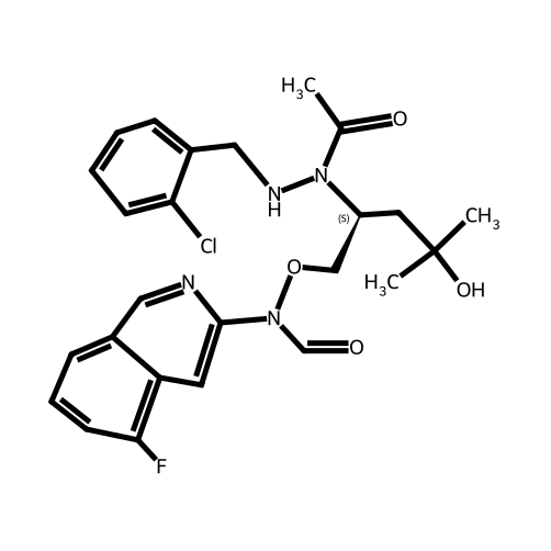 CC(=O)N(NCc1ccccc1Cl)[C@H](CON(C=O)c1cc2c(F)cccc2cn1)CC(C)(C)O